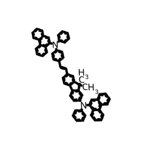 CC1(C)c2cc(/C=C/c3ccc(N(c4ccccc4)c4cc5ccccc5c5ccccc45)cc3)ccc2-c2ccc(N(c3ccccc3)c3cc4ccccc4c4ccccc34)cc21